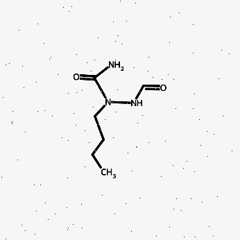 CCCCN(NC=O)C(N)=O